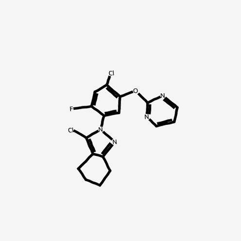 Fc1cc(Cl)c(Oc2ncccn2)cc1-n1nc2c(c1Cl)CCCC2